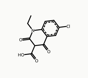 CCN1C(=O)C(C(=O)O)C(=O)c2cc(Cl)ccc21